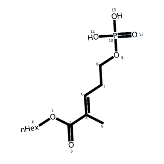 CCCCCCOC(=O)C(C)=CCCOP(=O)(O)O